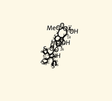 CO[C@H]1CC2C=C[C@H]3[C@H]4O[C@]2(/C(C)=C/[C@@H](C)[C@@H](C(C)O)OC1=O)[C@@H]3[C@H](O)[C@@H](C)[C@H]4OC(=O)c1[nH]c(-c2ccsc2)c(-c2ccsc2)c1-c1ccsc1